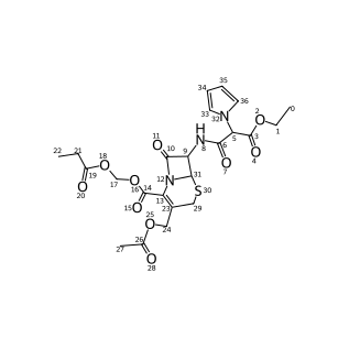 CCOC(=O)C(C(=O)NC1C(=O)N2C(C(=O)OCOC(=O)CC)=C(COC(C)=O)CSC12)n1cccc1